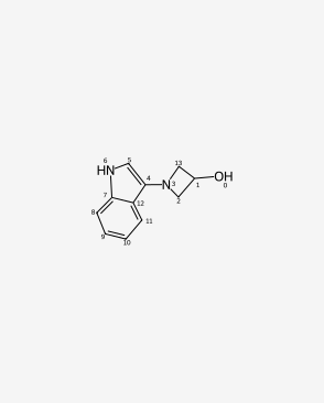 OC1CN(c2c[nH]c3ccccc23)C1